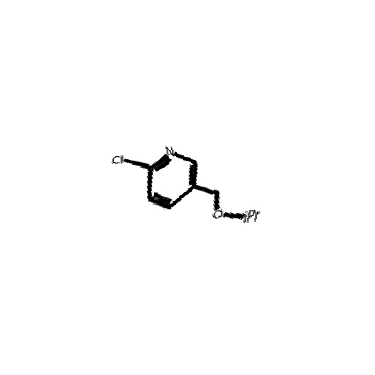 CC(C)OCc1ccc(Cl)nc1